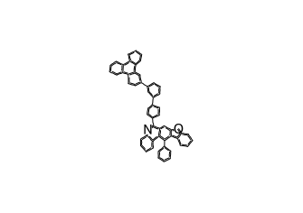 c1ccc(-c2c3c(cc4c(-c5ccc(-c6cccc(-c7ccc8c9ccccc9c9ccccc9c8c7)c6)cc5)nc5ccccc5c24)oc2ccccc23)cc1